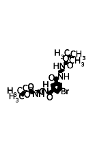 CC(C)(C)OC(=O)NCCNC(=O)c1cc(Br)cc(C(=O)NCCNC(=O)OC(C)(C)C)c1